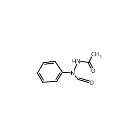 CC(=O)NN(C=O)c1cc[c]cc1